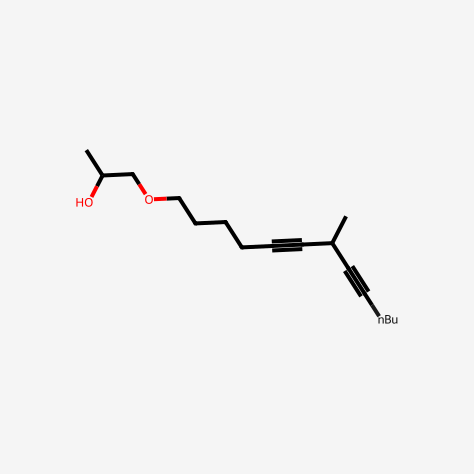 CCCCC#CC(C)C#CCCCCOCC(C)O